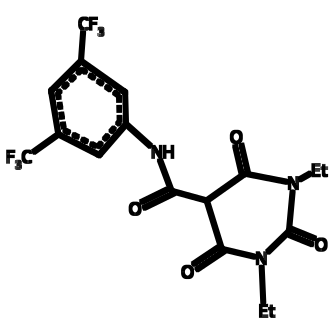 CCN1C(=O)C(C(=O)Nc2cc(C(F)(F)F)cc(C(F)(F)F)c2)C(=O)N(CC)C1=O